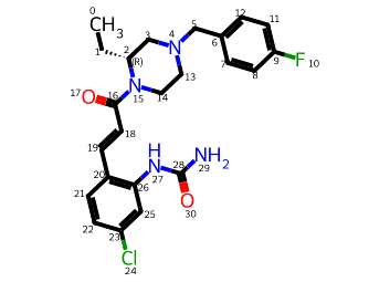 CC[C@@H]1CN(Cc2ccc(F)cc2)CCN1C(=O)C=Cc1ccc(Cl)cc1NC(N)=O